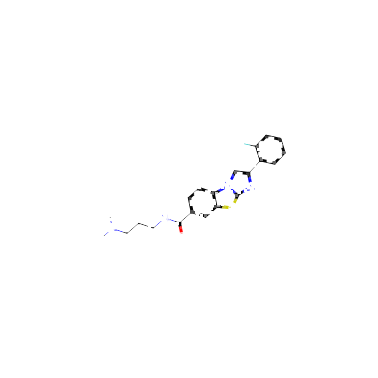 CCN(CC)CCCNC(=O)c1ccc2c(c1)sc1nc(-c3ccccc3F)cn12